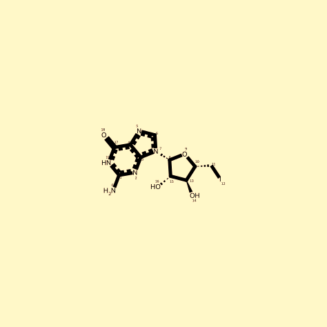 Nc1nc2c(ncn2[C@@H]2O[C@H](CI)[C@@H](O)[C@@H]2O)c(=O)[nH]1